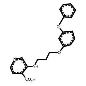 O=C(O)c1ccncc1NCCCOc1cccc(Oc2ccccc2)c1